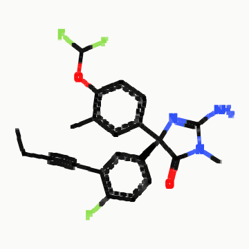 CCC#Cc1cc([C@@]2(c3ccc(OC(F)F)c(C)c3)N=C(N)N(C)C2=O)ccc1F